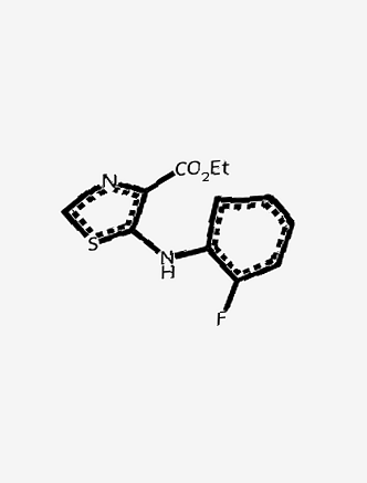 CCOC(=O)c1ncsc1Nc1ccccc1F